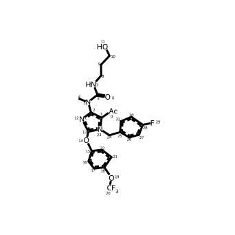 CC(=O)c1c(N(C)C(=O)NCCCO)nc(Oc2ccc(OC(F)(F)F)cc2)n1Cc1ccc(F)cc1